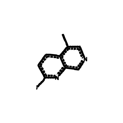 Cc1cncc2nc(I)ccc12